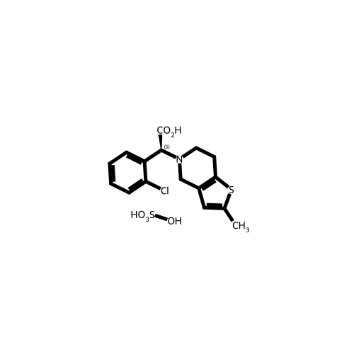 Cc1cc2c(s1)CCN([C@H](C(=O)O)c1ccccc1Cl)C2.O=S(=O)(O)O